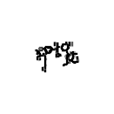 CCO[C@H]1CCC[C@@H]1NC(=O)[C@@H]1CNC[C@H](C(=O)N(c2ccc3c(c2)N(CCCOC)C(=O)C(C)(C)O3)C2CC2)C1